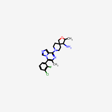 Cc1nc(N2CCC3(CC2)COC(C)C3N)c2cncn2c1-c1cccc(Cl)c1F